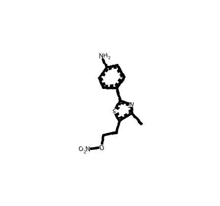 Cc1nc(-c2ccc(N)cc2)sc1CCO[N+](=O)[O-]